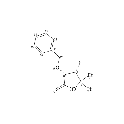 C=C1OC(CC)(CC)[C@@H](C)[C@H]1OCc1ccccc1